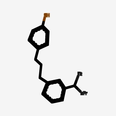 CCCC(CC)c1cccc(CCCc2ccc(S)cc2)c1